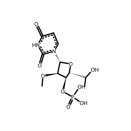 CO[C@@H]1[C@H](OP(=O)(O)O)[C@@H](C(C)O)O[C@H]1n1ccc(=O)[nH]c1=O